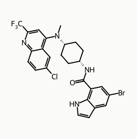 CN(c1cc(C(F)(F)F)nc2ccc(Cl)cc12)[C@H]1CC[C@@H](NC(=O)c2cc(Br)cc3cc[nH]c23)CC1